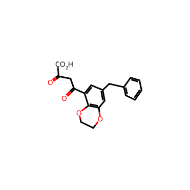 O=C(O)C(=O)CC(=O)c1cc(Cc2ccccc2)cc2c1OCCO2